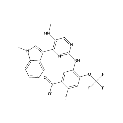 CNc1cnc(Nc2cc([N+](=O)[O-])c(F)cc2OC(F)(F)F)nc1-c1cn(C)c2ccccc12